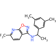 Cc1cc(C)cc(C(C)Nc2noc3nc(C(F)(F)F)ccc23)c1